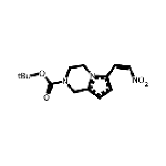 CC(C)(C)OC(=O)N1CCn2c(/C=C\[N+](=O)[O-])ccc2C1